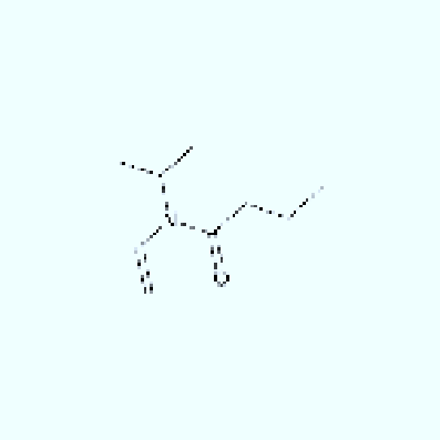 C=CN(C(=O)CCC)C(C)C